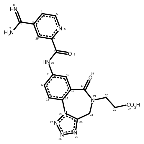 N=C(N)c1ccnc(C(=O)Nc2ccc3c(c2)C(=O)N(CCC(=O)O)Cc2nnnn2-3)c1